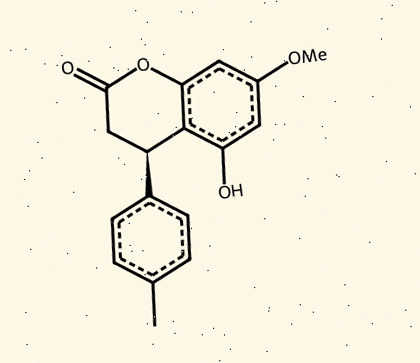 COc1cc(O)c2c(c1)OC(=O)C[C@@H]2c1ccc(C)cc1